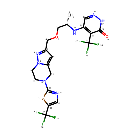 C[C@@H](COCc1cc2n(n1)CCN(c1ncc(C(F)(F)F)s1)C2)Nc1cn[nH]c(=O)c1C(F)(F)F